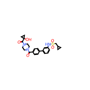 O=C(c1ccc(-c2cccc(NS(=O)(=O)CC3CC3)c2)cc1)N1CCN(C(=O)C2(O)CC2)CC1